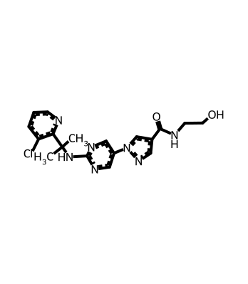 CC(C)(Nc1ncc(-n2cc(C(=O)NCCO)cn2)cn1)c1ncccc1Cl